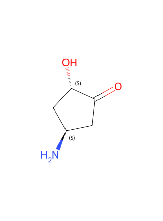 N[C@@H]1CC(=O)[C@@H](O)C1